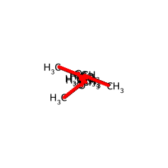 CCCCCCCCCCCCCCCCCCCCCCOC(=O)CCc1ccc(OP(Oc2ccc(CCC(=O)OCCCCCCCCCCCCCCCCCCCCCC)cc2C(C)(C)C)Oc2ccc(CCC(=O)OCCCCCCCCCCCCCCCCCCCCCC)cc2C(C)(C)C)c(C(C)(C)C)c1